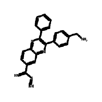 N=NC(=N)c1ccc2nc(-c3ccccc3)c(-c3ccc(CN)cc3)nc2c1